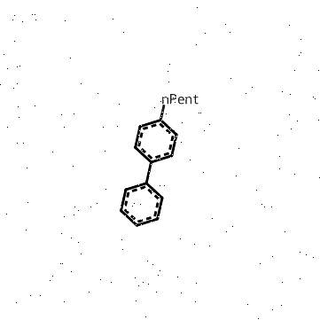 [CH2]CCCCc1ccc(-c2ccccc2)cc1